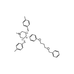 Cc1ccc(S[C@H]2CN(C)C[C@@H](Sc3ccc(C)cc3)[C@H]2c2ccc(OCCCOCc3ccccc3)cc2)cc1